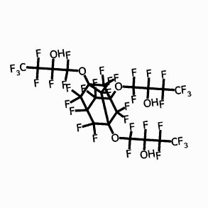 OC(F)(C(F)(F)OC12C(F)(F)C3(F)C(F)(F)C(OC(F)(F)C(O)(F)C(F)(F)C(F)(F)F)(C1(F)F)C(F)(F)C(OC(F)(F)C(O)(F)C(F)(F)C(F)(F)F)(C3(F)F)C2(F)F)C(F)(F)C(F)(F)F